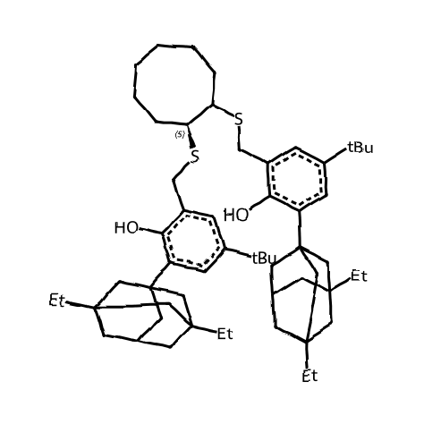 CCC12CC3CC(CC)(C1)CC(c1cc(C(C)(C)C)cc(CSC4CCCCCC[C@@H]4SCc4cc(C(C)(C)C)cc(C56CC7CC(CC)(CC(CC)(C7)C5)C6)c4O)c1O)(C3)C2